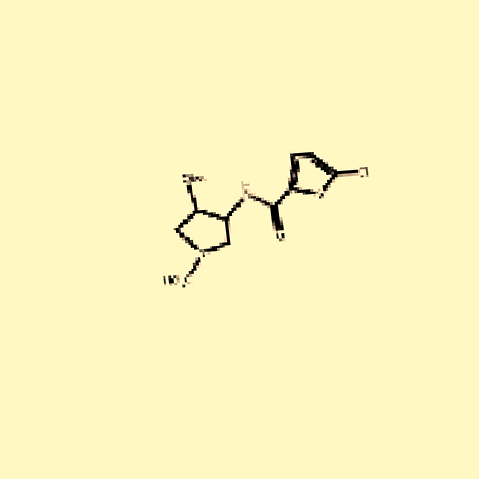 COC1CN(C(=O)O)CC1NC(=O)c1ccc(Cl)s1